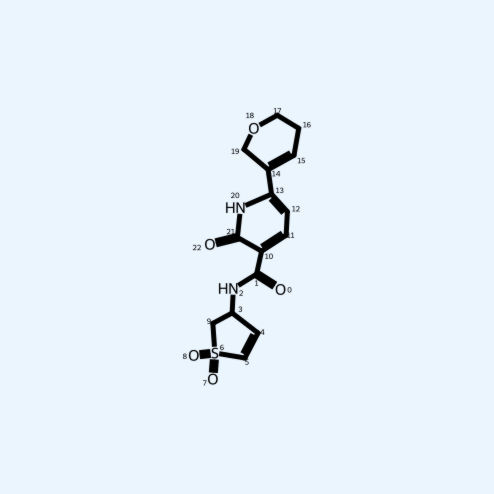 O=C(NC1C=CS(=O)(=O)C1)c1ccc(C2=CCCOC2)[nH]c1=O